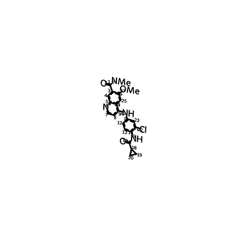 CNC(=O)c1cc2nccc(Nc3ccc(NC(=O)C4CC4)c(Cl)c3)c2cc1OC